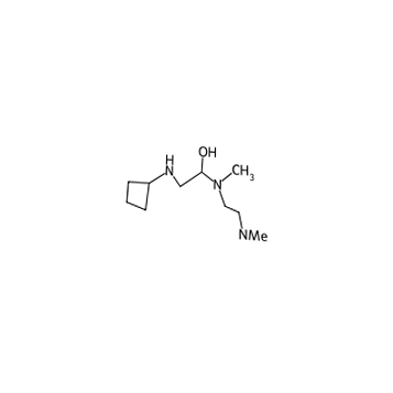 CNCCN(C)C(O)CNC1CCC1